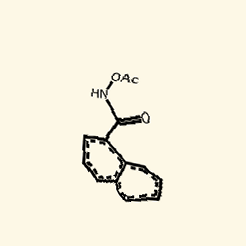 CC(=O)ONC(=O)c1cccc2ccccc12